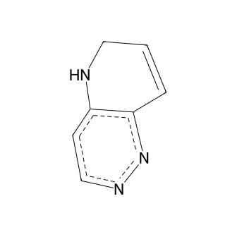 C1=Cc2nnccc2NC1